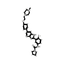 CN1CCN(CCOc2ccc(-c3cnc4nc(-c5cc(NC(=O)N6CCCC6)ccc5F)[nH]c4c3)cc2)CC1